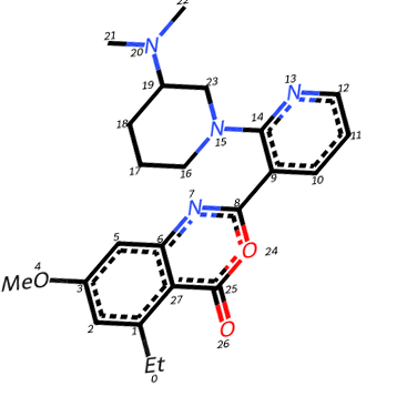 CCc1cc(OC)cc2nc(-c3cccnc3N3CCCC(N(C)C)C3)oc(=O)c12